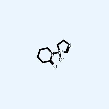 O=C1CCCCN1[N+]1([O-])C=NCC1